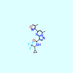 Cc1conc1-c1cc(C)n2ncc(C(=O)NC(C3CC3)C(F)(F)F)c2n1